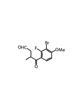 COc1ccc(C(=O)C(C)CC=O)c(F)c1Br